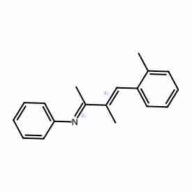 CC(=C\c1ccccc1C)/C(C)=N/c1ccccc1